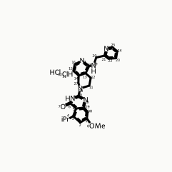 COc1cc(C(C)C)c2c(=O)[nH]c(N3CCc4c(ccnc4NCc4ccccn4)C3)nc2c1.Cl.Cl